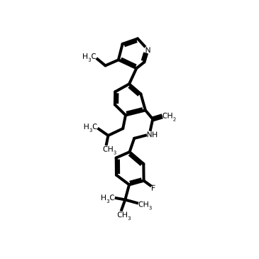 C=C(NCc1ccc(C(C)(C)C)c(F)c1)c1cc(-c2cnccc2CC)ccc1CC(C)C